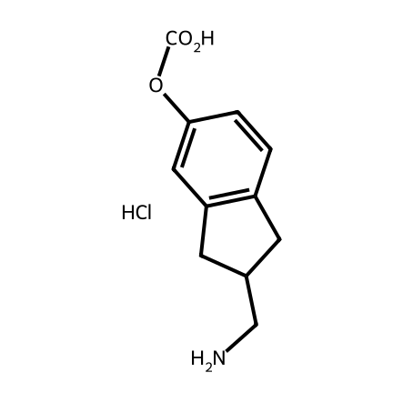 Cl.NCC1Cc2ccc(OC(=O)O)cc2C1